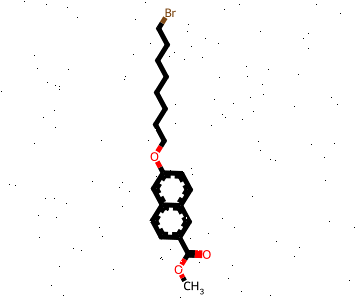 COC(=O)c1ccc2cc(OCCCCCCCCBr)ccc2c1